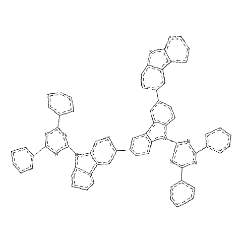 c1ccc(-c2nc(-c3ccccc3)nc(-n3c4ccccc4c4cc(-c5ccc6c(c5)c5cc(-c7ccc8sc9ccccc9c8c7)ccc5n6-c5nc(-c6ccccc6)nc(-c6ccccc6)n5)ccc43)n2)cc1